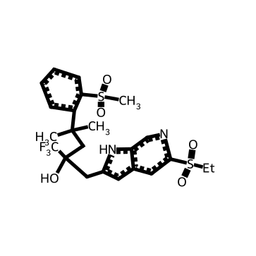 CCS(=O)(=O)c1cc2cc(CC(O)(CC(C)(C)c3ccccc3S(C)(=O)=O)C(F)(F)F)[nH]c2cn1